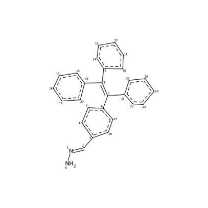 NN=Cc1ccc(C(=C(c2ccccc2)c2ccccc2)c2ccccc2)cc1